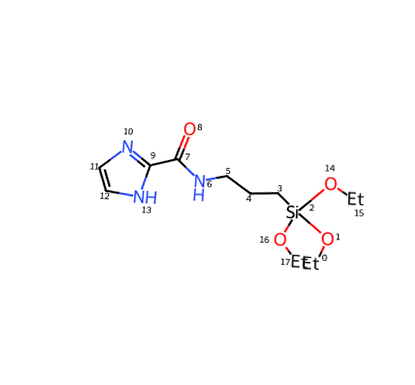 CCO[Si](CCCNC(=O)c1ncc[nH]1)(OCC)OCC